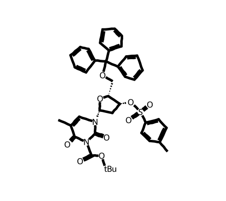 Cc1ccc(S(=O)(=O)O[C@@H]2C[C@H](n3cc(C)c(=O)n(C(=O)OC(C)(C)C)c3=O)O[C@@H]2COC(c2ccccc2)(c2ccccc2)c2ccccc2)cc1